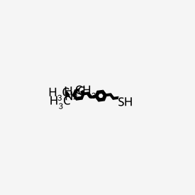 C=C(/C=C\C(=C/C)N(C)C)/C=C/c1ccc(CCCS)cc1